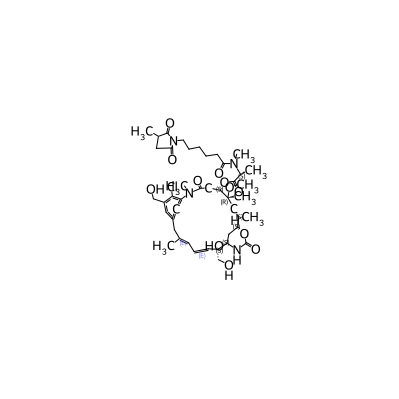 CO[C@]1(C)C[C@H](C)[C@@H]2C[C@@](O)(NC(=O)O2)[C@H](CO)/C=C/C=C(\C)Cc2cc(CO)c(Cl)c(c2)N(C)C(=O)C[C@@H]1OC(=O)[C@H](C)N(C)C(=O)CCCCCN1C(=O)CC(C)C1=O